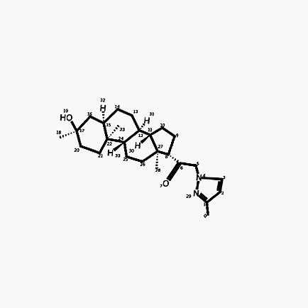 Cc1ccn(CC(=O)[C@H]2CC[C@H]3[C@@H]4CC[C@@H]5C[C@](C)(O)CC[C@]5(C)[C@H]4CC[C@]23C)n1